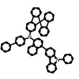 c1ccc(-c2ccc(N(c3ccc4c(c3)C3(c5ccccc5-c5ccccc53)c3ccccc3-4)c3ccc(-c4ccc5c(c4)c4ccccc4n5-c4ccccc4)c4ccccc34)cc2)cc1